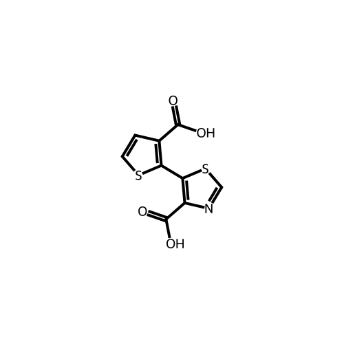 O=C(O)c1ccsc1-c1scnc1C(=O)O